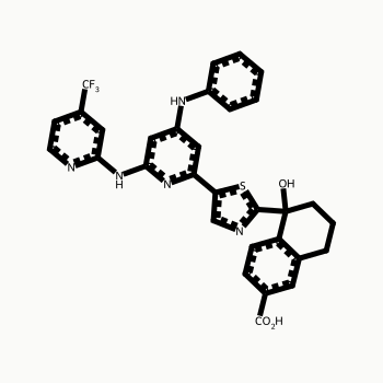 O=C(O)c1ccc2c(c1)CCCC2(O)c1ncc(-c2cc(Nc3ccccc3)cc(Nc3cc(C(F)(F)F)ccn3)n2)s1